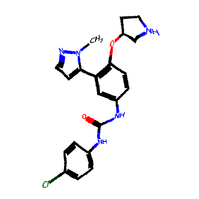 Cn1nccc1-c1cc(NC(=O)Nc2ccc(Cl)cc2)ccc1OC1CCNC1